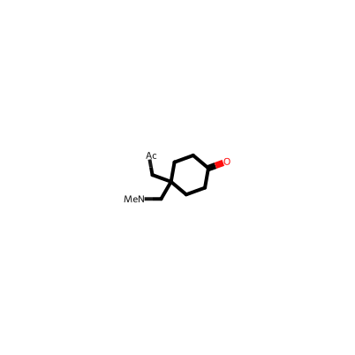 CNCC1(CC(C)=O)CCC(=O)CC1